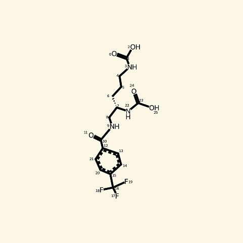 O=C(O)NCCC[C@@H](CNC(=O)c1ccc(C(F)(F)F)cc1)NC(=O)O